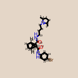 CC1CCC(C)N1CCCCNC(=O)[C@H]1[C@H](C(=O)Nc2ccc(Br)cc2)[C@@H]2C=C[C@H]1C21CC1